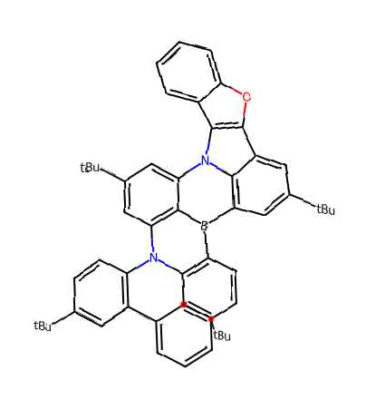 CC(C)(C)c1ccc(N2c3cc(C(C)(C)C)ccc3B3c4c2cc(C(C)(C)C)cc4-n2c4c3cc(C(C)(C)C)cc4c3oc4ccccc4c32)c(-c2ccccc2)c1